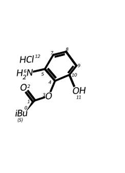 CC[C@H](C)C(=O)Oc1c(N)cccc1O.Cl